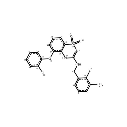 Cc1cccc(CNC2=NS(=O)(=O)c3cccc(Oc4ccccc4Cl)c3N2)c1Cl